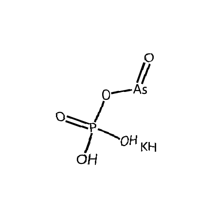 O=[As]OP(=O)(O)O.[KH]